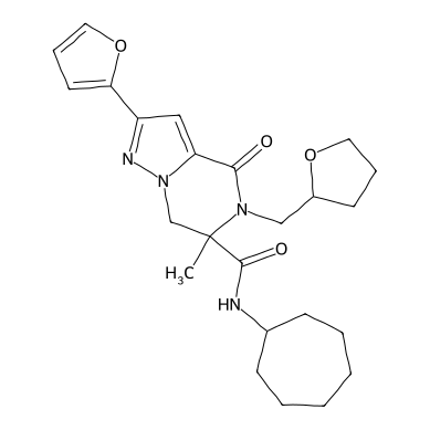 CC1(C(=O)NC2CCCCCC2)Cn2nc(-c3ccco3)cc2C(=O)N1CC1CCCO1